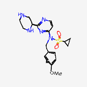 COc1ccc(CN(c2ccnc(C3CNCCN3)n2)S(=O)(=O)C2CC2)cc1